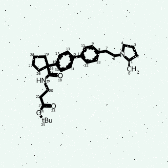 C[C@@H]1CCCN1CCc1ccc(-c2ccc(C3(C(=O)NCCC(=O)OC(C)(C)C)CCCC3)cc2)cc1